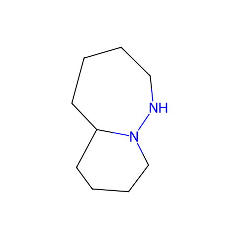 C1CCC2CCCCN2NC1